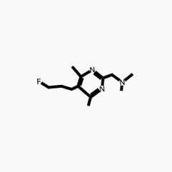 Cc1nc(CN(C)C)nc(C)c1CCCF